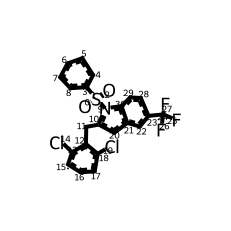 O=S(=O)(c1ccccc1)n1c(Cc2c(Cl)[c]ccc2Cl)cc2cc(C(F)(F)F)ccc21